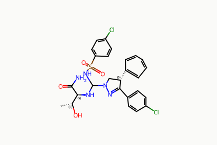 C[C@@H](O)[C@H](NC(NS(=O)(=O)c1ccc(Cl)cc1)N1C[C@H](c2ccccc2)C(c2ccc(Cl)cc2)=N1)C(N)=O